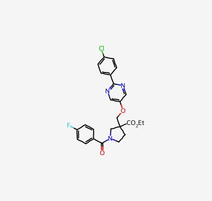 CCOC(=O)C1(COc2cnc(-c3ccc(Cl)cc3)nc2)CCN(C(=O)c2ccc(F)cc2)C1